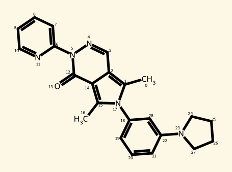 Cc1c2cnn(-c3ccccn3)c(=O)c2c(C)n1-c1cccc(N2CCCC2)c1